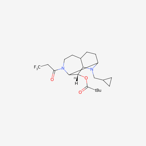 CC(C)(C)C(=O)O[C@@H]1C2C3CCC(CCN2C(=O)CC(F)(F)F)C1N3CC1CC1